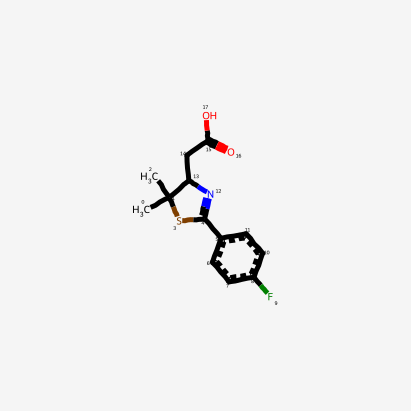 CC1(C)SC(c2ccc(F)cc2)=NC1CC(=O)O